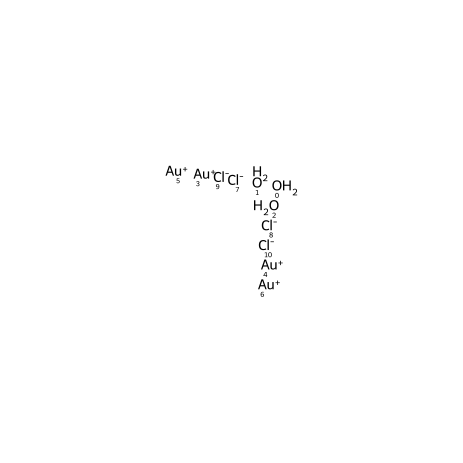 O.O.O.[Au+].[Au+].[Au+].[Au+].[Cl-].[Cl-].[Cl-].[Cl-]